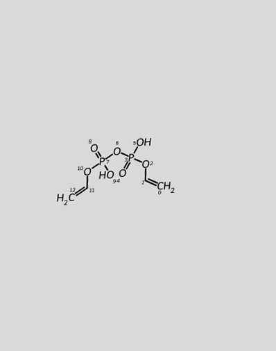 C=COP(=O)(O)OP(=O)(O)OC=C